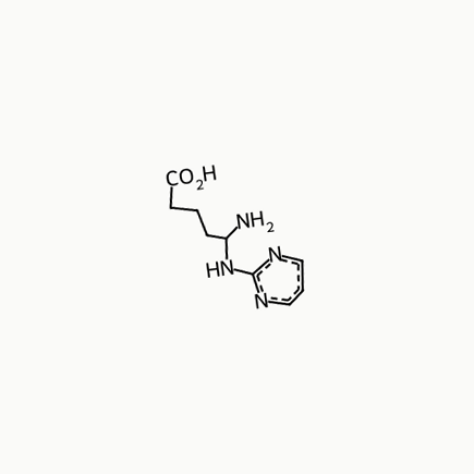 NC(CCCC(=O)O)Nc1ncccn1